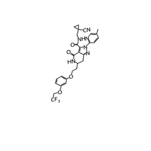 Cc1ccc(-n2nc3c(c2C(=O)NCC2(C#N)CC2)C(=O)NC(CCOc2cccc(OCC(F)(F)F)c2)C3)nc1